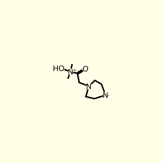 C[N+](C)(O)C(=O)CN1CC[N]CC1